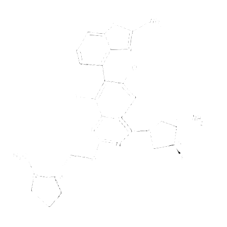 CN1CCC[C@H]1COc1nc(N2C[C@H](N)[C@@H](F)C2)c2cc(Cl)c(-c3cccc4sc(N)nc34)c(F)c2n1